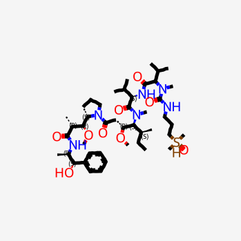 CC[C@H](C)[C@@H]([C@@H](CC(=O)N1CCC[C@H]1[C@H](OC)[C@@H](C)C(=O)N[C@H](C)[C@@H](O)c1ccccc1)OC)N(C)C(=O)[C@@H](NC(=O)C(C(C)C)N(C)C(=O)NCCC[SH](C)(C)=O)C(C)C